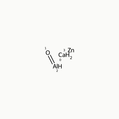 [CaH2].[O]=[AlH].[Zn]